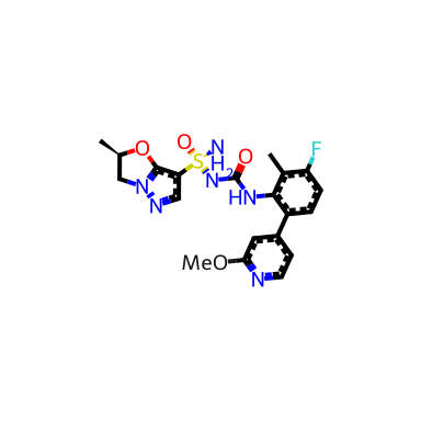 COc1cc(-c2ccc(F)c(C)c2NC(=O)N=[S@@](N)(=O)c2cnn3c2O[C@H](C)C3)ccn1